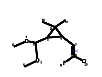 COC(OC)C1C(/C=C(\F)Cl)C1(C)C